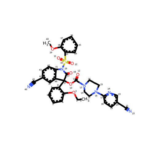 CCOc1ccccc1C1(OC(=O)N2CCN(c3ccc(C#N)cn3)CC2)C(=O)N(S(=O)(=O)c2ccccc2OC)c2ccc(C#N)cc21